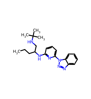 CCCC(CNC(C)(C)C)Nc1cccc(-n2nnc3ccccc32)n1